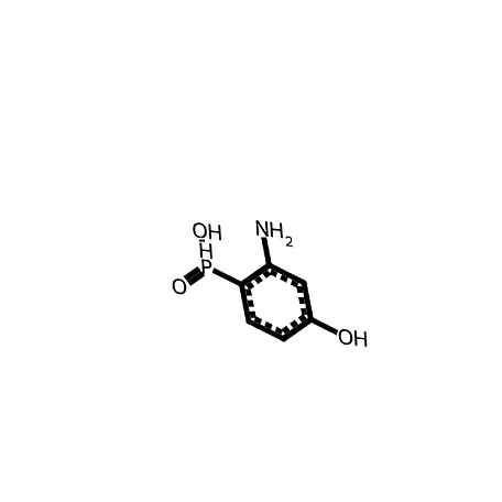 Nc1cc(O)ccc1[PH](=O)O